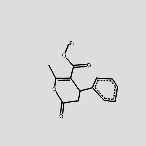 CC1=C(C(=O)OC(C)C)C(c2ccccc2)CC(=O)O1